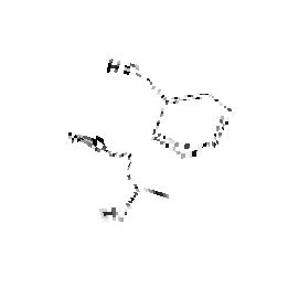 COCC(C)O.Oc1ccccc1